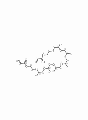 C=CC(=O)OCCOCC(C)OCC(C)OCC(C)OCC(C)OCC(C)OCC(C)OCCOC(=O)C=C